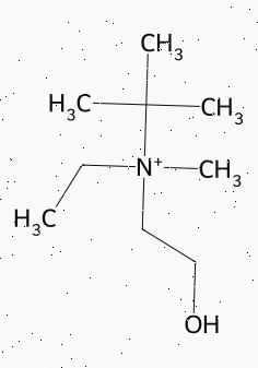 CC[N+](C)(CCO)C(C)(C)C